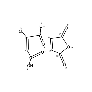 O=C(O)/C=C(/Cl)C(=O)O.O=C1C=CC(=O)O1